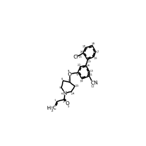 C=CC(=O)N1CCC(Oc2cc(C#N)cc(-c3ccccc3Cl)c2)CC1